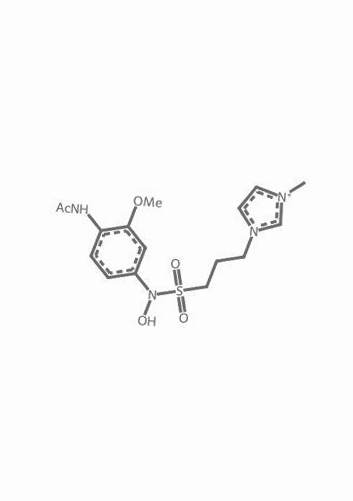 COc1cc(N(O)S(=O)(=O)CCCn2cc[n+](C)c2)ccc1NC(C)=O